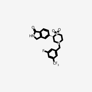 O=C1NCc2cc([C@H]3CN(Cc4cc(F)cc(C(F)(F)F)c4)CCS3(=O)=O)ccc21